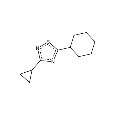 C1CCC(c2nc(C3CC3)ns2)CC1